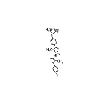 C1CC[SiH2]C1.CC1=[C]([Hf+2][C]2=C(C)C(c3ccc(F)cc3)=CC2)CC=C1c1ccc(F)cc1.[Cl-].[Cl-]